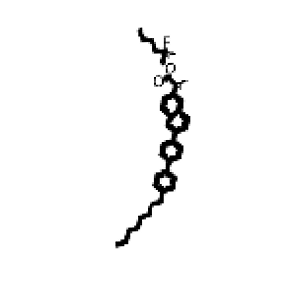 CCCCCCCCc1ccc(-c2ccc(-c3ccc4cc([C@H](C)C(=O)OC[C@@](C)(F)CCCC)ccc4c3)cc2)cc1